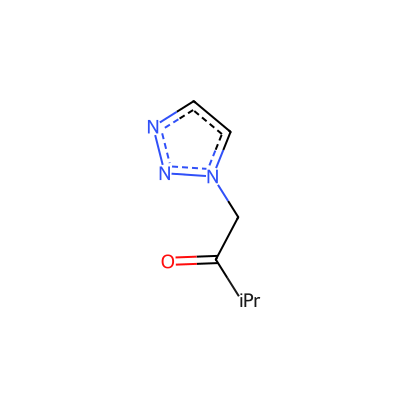 CC(C)C(=O)Cn1ccnn1